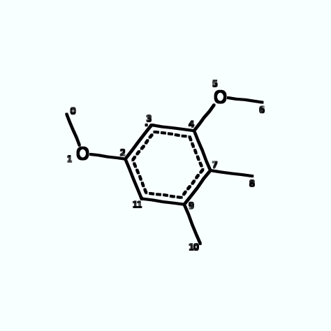 COc1[c]c(OC)c(C)c(C)c1